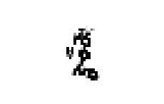 CC#N.CCC(CCc1ccc(C2CCC(C(F)(F)F)C(C(F)(F)F)C2)cc1)N(C)Cc1ccccc1